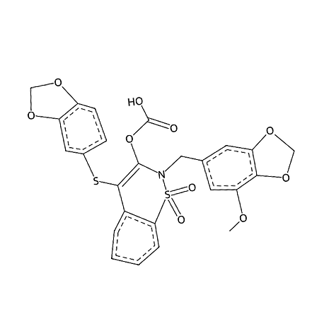 COc1cc(CN2C(OC(=O)O)=C(Sc3ccc4c(c3)OCO4)c3ccccc3S2(=O)=O)cc2c1OCO2